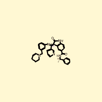 C[C@H](NC(=O)c1ccc2c(c1)/C(=C(/Nc1cccc(CN3CCCCC3)c1)c1cccnc1)C(=O)N2)c1ccccc1